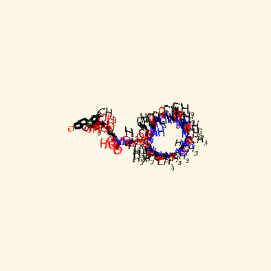 C/C=C/C[C@H](C)C(OC(=O)OCOC(=O)C[C@@H](NC(=O)CCC(=O)OCC(=O)[C@]1(O)[C@H](C)CC2C3CCC4=CC(=O)C=C[C@@]4(C)[C@]3(F)[C@H](O)C[C@]21C)C(=O)O)C1C(=O)NC(CC)C(=O)N(C)CC(=O)N(C)[C@H](CC(C)C)C(=O)NC(C(C)C)C(=O)N(C)C(CC(C)C)C(=O)NC(C)C(=O)NC(C)C(=O)N(C)C(CC(C)C)C(=O)N(C)C(CC(C)C)C(=O)N(C)C(C(C)C)C(=O)N1C